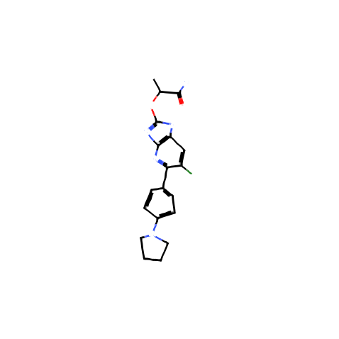 CC(Oc1nc2nc(-c3ccc(N4CCCC4)cc3)c(Cl)cc2[nH]1)C(N)=O